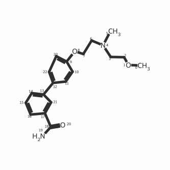 COCCN(C)CCOc1ccc(-c2cccc(C(N)=O)c2)cc1